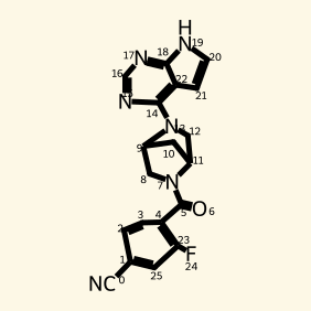 N#Cc1ccc(C(=O)N2CC3CC2CN3c2ncnc3[nH]ccc23)c(F)c1